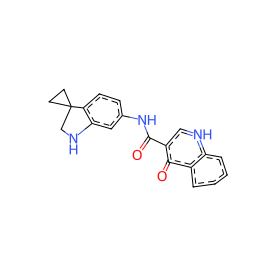 O=C(Nc1ccc2c(c1)NCC21CC1)c1c[nH]c2ccccc2c1=O